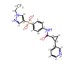 O=C(Nc1ccc(S(=O)(=O)c2cnn(CC(F)(F)F)c2)cc1)C1CC1c1cccnc1